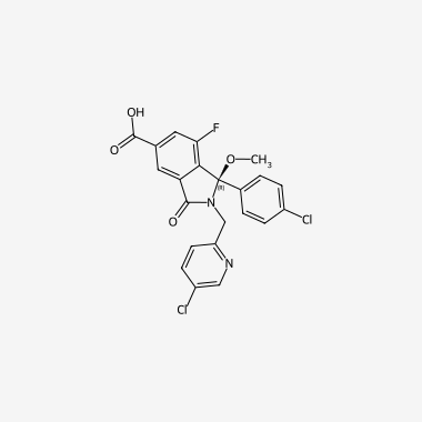 CO[C@]1(c2ccc(Cl)cc2)c2c(F)cc(C(=O)O)cc2C(=O)N1Cc1ccc(Cl)cn1